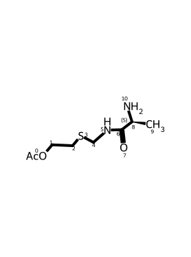 CC(=O)OCCSCNC(=O)[C@H](C)N